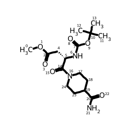 COC(=O)C[C@H](NC(=O)OC(C)(C)C)C(=O)N1CCC(C(N)=O)CC1